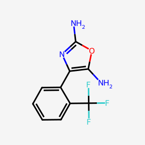 Nc1nc(-c2ccccc2C(F)(F)F)c(N)o1